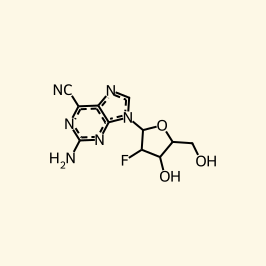 N#Cc1nc(N)nc2c1ncn2C1OC(CO)C(O)C1F